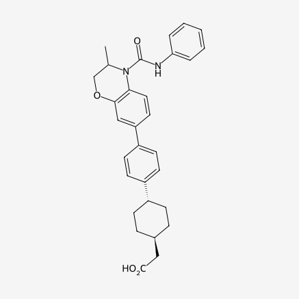 CC1COc2cc(-c3ccc([C@H]4CC[C@H](CC(=O)O)CC4)cc3)ccc2N1C(=O)Nc1ccccc1